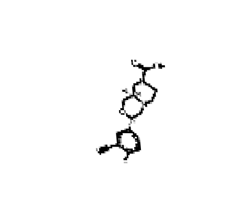 N#Cc1cc([C@H]2CN3CCN(C(=O)O)C[C@@H]3CO2)ccc1F